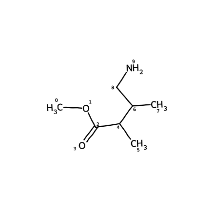 COC(=O)C(C)C(C)CN